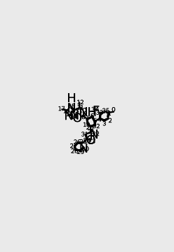 Cc1ccc(-c2cc(C(=O)NC(C)c3nnc(C)[nH]3)cc(C3=NOC(c4ccccn4)C3)c2)c(F)c1